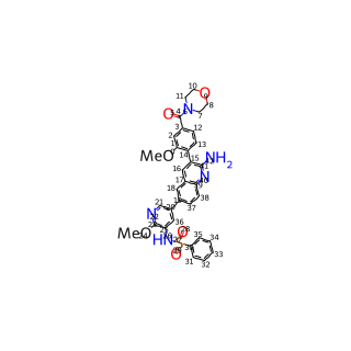 COc1cc(C(=O)N2CCOCC2)ccc1-c1cc2cc(-c3cnc(OC)c(NS(=O)(=O)c4ccccc4)c3)ccc2nc1N